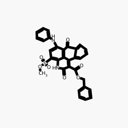 COS(=O)(=O)c1cc(Nc2ccccc2)c2c3c(c(C(=O)OCc4ccccc4)c(=O)[nH]c13)-c1ccccc1C2=O